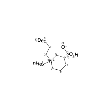 CCCCCCCCCCCC[N+]1(CCCCCC)CCCCC1.O=S(=O)([O-])O